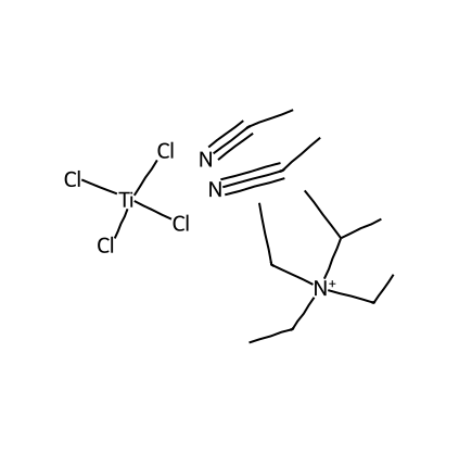 CC#N.CC#N.CC[N+](CC)(CC)C(C)C.[Cl][Ti]([Cl])([Cl])[Cl]